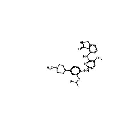 Cc1cnc(Nc2ccc(N3CCN(C)CC3)cc2OC(F)F)nc1Nc1cccc2c1C(=O)NC2